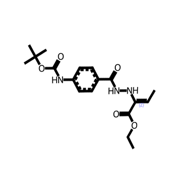 C/C=C(\NNC(=O)c1ccc(NC(=O)OC(C)(C)C)cc1)C(=O)OCC